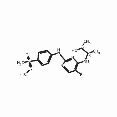 CN=S(C)(=O)c1ccc(Nc2ncc(Br)c(N[C@H](C)[C@@H](C)O)n2)cc1